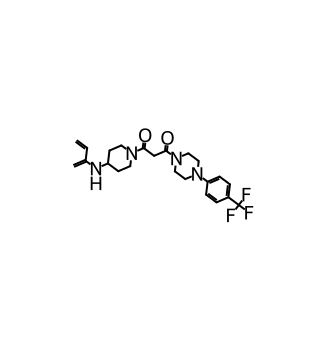 C=CC(=C)NC1CCN(C(=O)CC(=O)N2CCN(c3ccc(C(F)(F)F)cc3)CC2)CC1